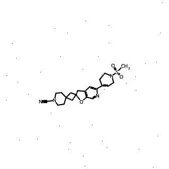 CS(=O)(=O)N1CC=C(c2cc3c(cn2)OC2(C3)CC3(CCN(C#N)CC3)C2)CC1